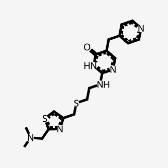 CN(C)Cc1nc(CSCCNc2ncc(Cc3ccncc3)c(=O)[nH]2)cs1